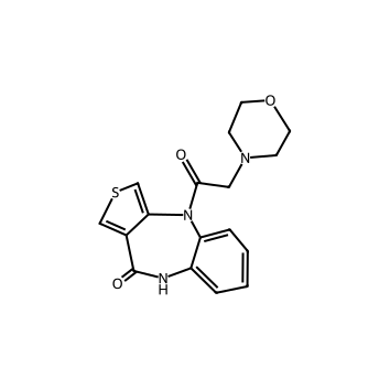 O=C1Nc2ccccc2N(C(=O)CN2CCOCC2)c2cscc21